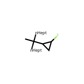 CCCCCCCC(C)(CCCCCCC)C1CC1F